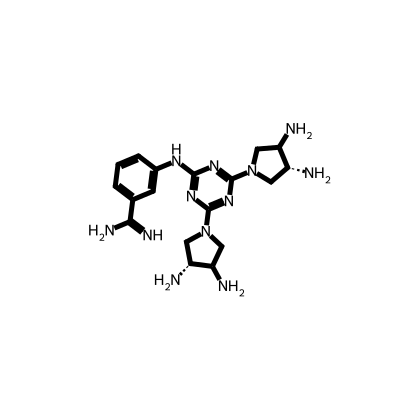 N=C(N)c1cccc(Nc2nc(N3CC(N)[C@H](N)C3)nc(N3CC(N)[C@H](N)C3)n2)c1